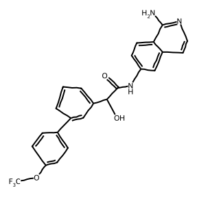 Nc1nccc2cc(NC(=O)C(O)c3cccc(-c4ccc(OC(F)(F)F)cc4)c3)ccc12